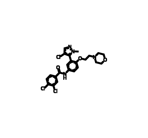 Cn1ncc(Cl)c1-c1cc(NC(=O)c2ccc(Cl)c(Cl)c2)ccc1OCCN1CCOCC1